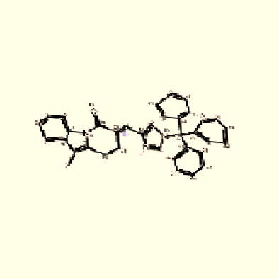 Cc1c2n(c3ccccc13)C(=O)/C(=C/c1cn(C(c3ccccc3)(c3ccccc3)c3ccccc3)cn1)CC2